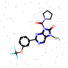 Cn1c(=O)n(C(=O)N2CCCC2)c2nc(-c3cccc(OC(F)(F)F)c3)ncc21